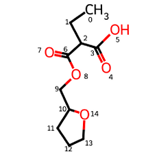 CCC(C(=O)O)C(=O)OCC1CCCO1